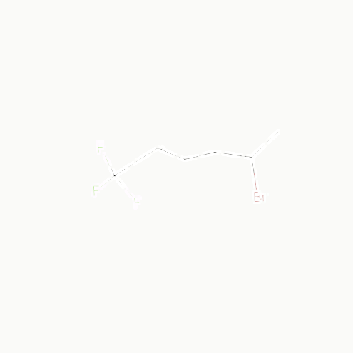 CC(Br)CC[CH]C(F)(F)F